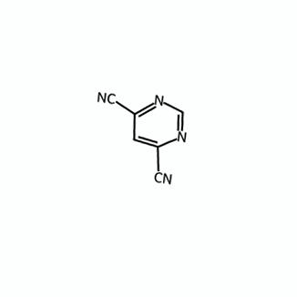 N#Cc1cc(C#N)ncn1